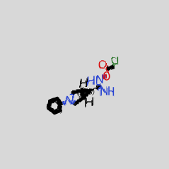 N=C(NOC(=O)CCl)[C@@H]1[C@@H]2CN(c3ccccc3)C[C@@H]21